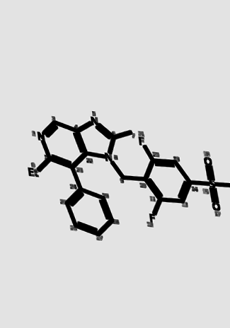 CCc1ncc2nc(C)n(Cc3c(F)cc(S(N)(=O)=O)cc3F)c2c1-c1ccccc1